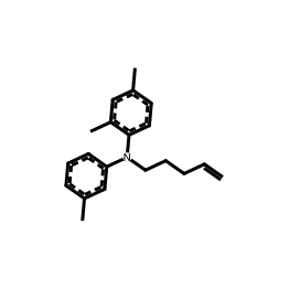 C=CCCCN(c1cccc(C)c1)c1ccc(C)cc1C